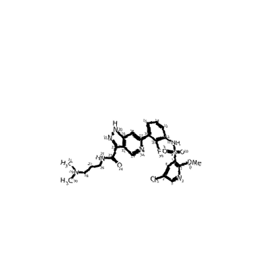 COc1ncc(Cl)cc1S(=O)(=O)Nc1cccc(-c2cc3[nH]nc(C(=O)NCCCN(C)C)c3cn2)c1F